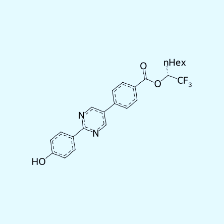 CCCCCC[C@@H](OC(=O)c1ccc(-c2cnc(-c3ccc(O)cc3)nc2)cc1)C(F)(F)F